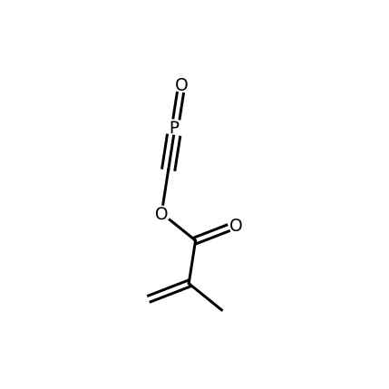 C=C(C)C(=O)OC#P=O